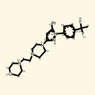 CC(C)c1cc(N2CCN(CCN3CCOCC3)CC2)nn1-c1ccc(C(C)(F)F)cc1